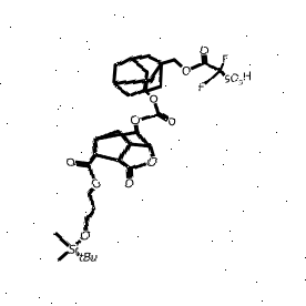 CC(C)(C)[Si](C)(C)OCCCOC(=O)C1C2CC3C(OC(=O)C31)C2OC(=O)OC12CC3CC(CC(COC(=O)C(F)(F)S(=O)(=O)O)(C3)C1)C2